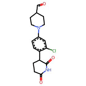 O=CC1CCN(c2ccc(C3CCC(=O)NC3=O)c(Cl)c2)CC1